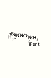 CCCCC(C)N1CCN(c2ccc(CN(C)CCCC(C)CCC)cc2)CC1